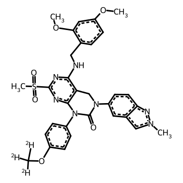 [2H]C([2H])([2H])Oc1ccc(N2C(=O)N(c3ccc4nn(C)cc4c3)Cc3c(NCc4ccc(OC)cc4OC)nc(S(C)(=O)=O)nc32)cc1